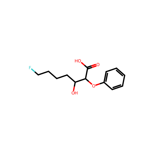 O=C(O)C(Oc1ccccc1)C(O)CCCCF